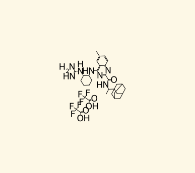 Cc1ccc2nc(C(=O)NC(C)C34CC5CC(CC(C5)C3)C4)nc(NC3CCCCC3NC(=N)N)c2c1.O=C(O)C(F)(F)F.O=C(O)C(F)(F)F